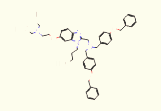 CCCCn1c(CN(Cc2ccc(OCc3ccccc3)cc2)Cc2ccc(OCc3ccccc3)cc2)nc2ccc(OCCN(CC)CC)cc21